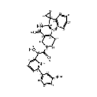 O=C(C(O)c1cccc(-c2cccc(F)c2)n1)N1CCc2nc(C3(c4ccccc4)CC3)[nH]c(=O)c2C1